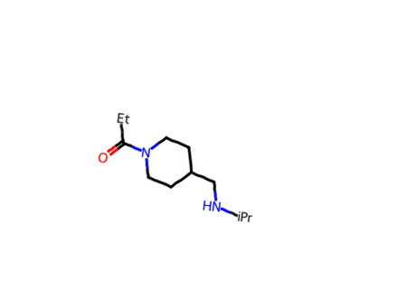 CCC(=O)N1CCC(CNC(C)C)CC1